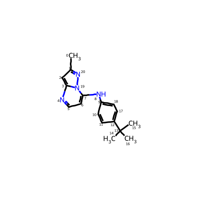 Cc1cc2nccc(Nc3ccc(C(C)(C)C)cc3)n2n1